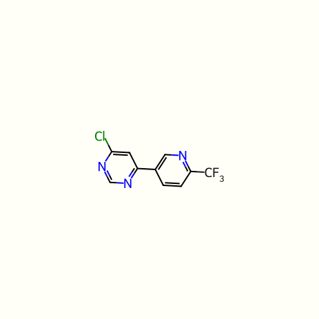 FC(F)(F)c1ccc(-c2cc(Cl)ncn2)cn1